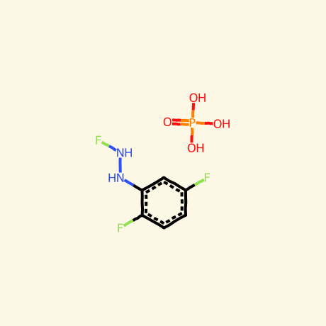 FNNc1cc(F)ccc1F.O=P(O)(O)O